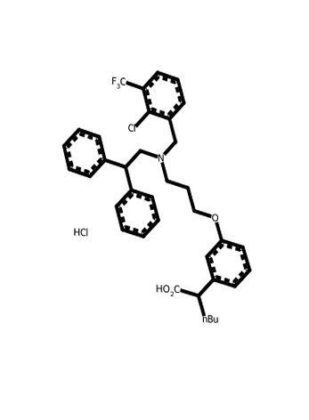 CCCCC(C(=O)O)c1cccc(OCCCN(Cc2cccc(C(F)(F)F)c2Cl)CC(c2ccccc2)c2ccccc2)c1.Cl